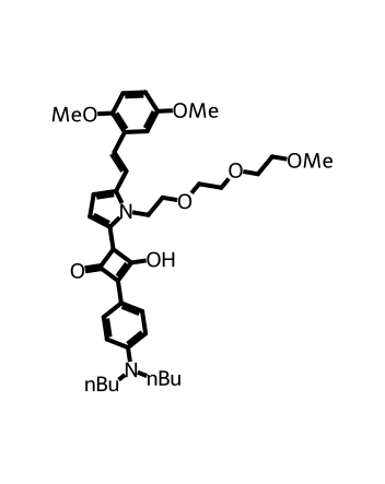 CCCCN(CCCC)c1ccc(C2=C(O)C(c3ccc(/C=C/c4cc(OC)ccc4OC)n3CCOCCOCCOC)C2=O)cc1